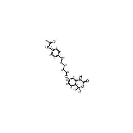 CC(=O)Nc1ccc(SCCCCOc2ccc3c(c2)NC(=O)OC3(C)C)cc1